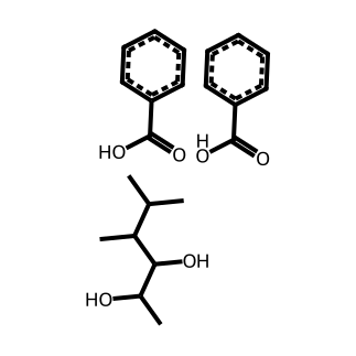 CC(C)C(C)C(O)C(C)O.O=C(O)c1ccccc1.O=C(O)c1ccccc1